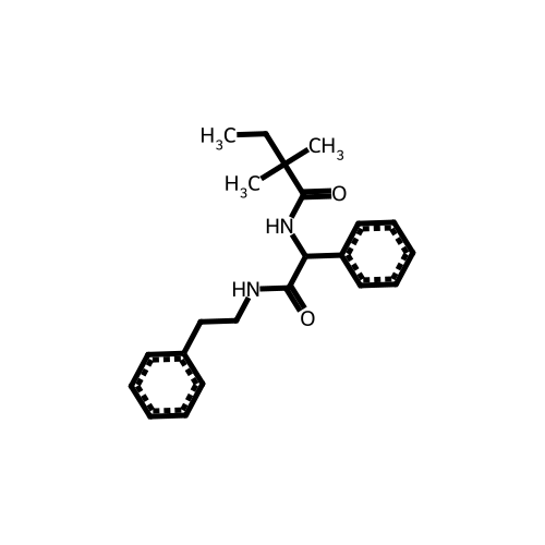 CCC(C)(C)C(=O)NC(C(=O)NCCc1ccccc1)c1ccccc1